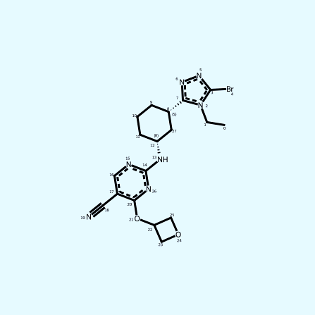 CCn1c(Br)nnc1[C@H]1CCC[C@@H](Nc2ncc(C#N)c(OC3COC3)n2)C1